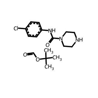 CC(C)(C)OC=O.O=C(Nc1ccc(Cl)cc1)N1CCNCC1